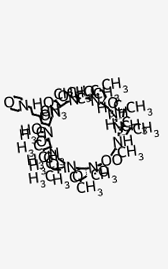 CC(C)C[C@@H]1C(=O)N[C@H](CC(C)C)C(=O)N(C)C(C(C)C)C(=O)N(C)C([C@H](O)[C@H](C)CCN2CCOCC2)C(=O)NC([C@@H](C)O)C(=O)N(C)CC(=O)N(C)[C@@H](CC(C)C)C(=O)N[C@H](CC(C)C)N(C)[C@H](CC(C)C)N[C@H](C)C(=O)OC(=O)N1C